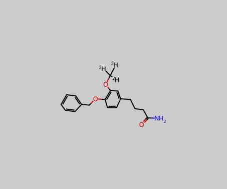 [2H]C([2H])([2H])Oc1cc(CCCC(N)=O)ccc1OCc1ccccc1